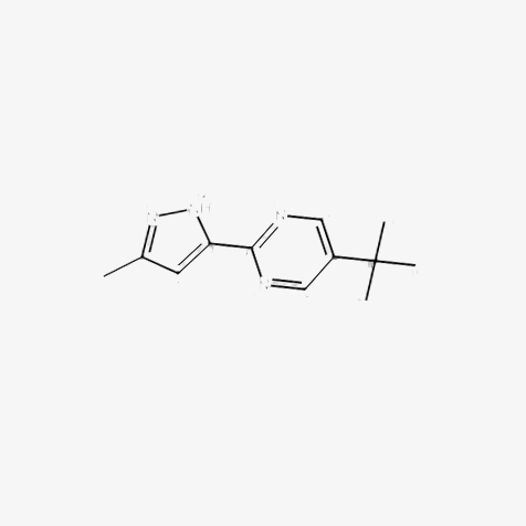 Cc1cc(-c2ncc(C(C)(C)C)cn2)[nH]n1